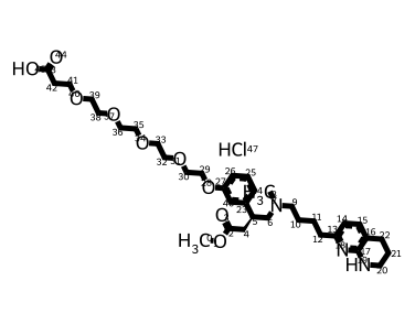 COC(=O)C[C@H](CN(C)CCCCc1ccc2c(n1)NCCC2)c1cccc(OCCOCCOCCOCCOCCC(=O)O)c1.Cl